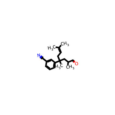 CC(C)=CCC(C)(CC(C)C=O)c1cccc(C#N)c1